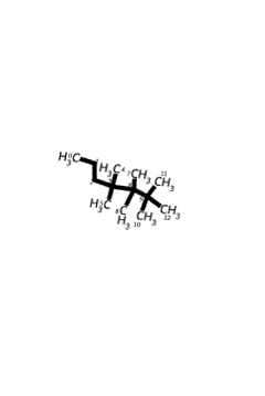 CCCC(C)(C)C(C)(C)C(C)(C)C